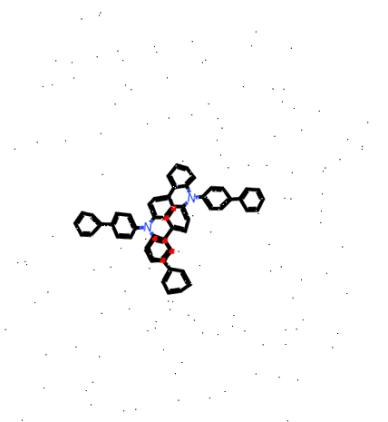 c1ccc(-c2ccc(N(c3ccc(-c4ccccc4)cc3)c3ccc(-c4ccccc4N(c4ccc(-c5ccccc5)cc4)c4ccc(-c5ccccc5)cc4)cc3)cc2)cc1